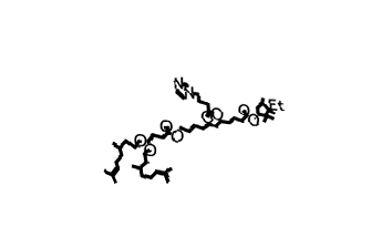 CCC1(C)C(C)C[C@@H](OC(=O)CCCC(CCCCCCOC(=O)CCC(OCCC(C)CCC=C(C)C)OCCC(C)CCC=C(C)C)OC(=O)CCCn2ccnc2)C1(C)C